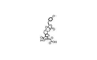 COc1ccc(C=C2SC(=O)N(CC3OCCc4c3sc(NC(=O)C(=O)O)c4C(=O)O)C2=O)cc1